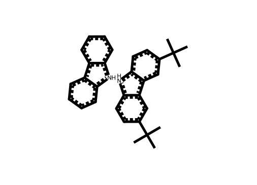 CC(C)(C)c1ccc2[nH]c3ccc(C(C)(C)C)cc3c2c1.c1ccc2c(c1)[nH]c1ccccc12